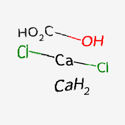 O=C(O)O.[CaH2].[Cl][Ca][Cl]